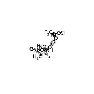 CN(C)CC[C@H](CSc1ccccc1)Nc1ccc(S(=O)(=O)Nc2ccc(N3CCN(c4cccc(-n5nc(C(F)(F)F)cc5-c5ccc(Cl)cc5)c4)CC3)cc2)cc1[N+](=O)[O-]